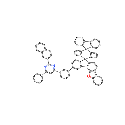 c1ccc(-c2cc(-c3cccc(-c4ccc5c(c4)-c4c(ccc6c4oc4ccccc46)C54c5ccccc5C5(c6ccccc6-c6ccccc65)c5ccccc54)c3)nc(-c3ccc4ccccc4c3)n2)cc1